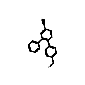 N#Cc1cnc(-c2ccc(CBr)cc2)c(-c2ccccc2)c1